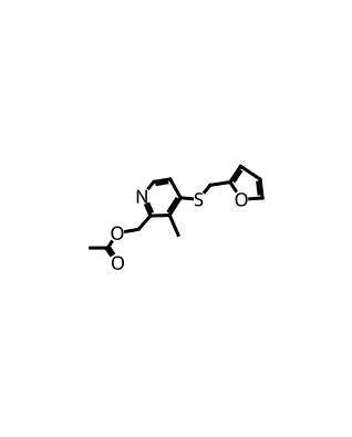 CC(=O)OCc1nccc(SCc2ccco2)c1C